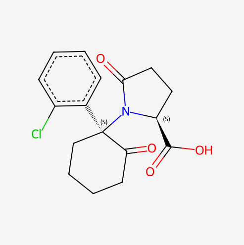 O=C(O)[C@@H]1CCC(=O)N1[C@]1(c2ccccc2Cl)CCCCC1=O